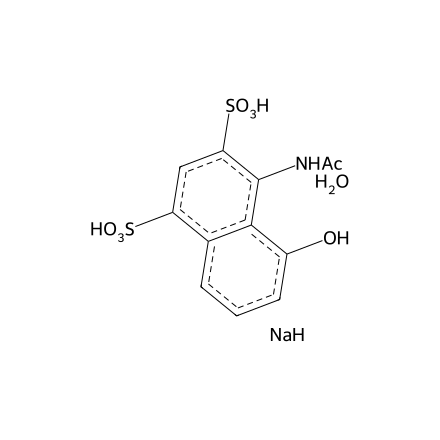 CC(=O)Nc1c(S(=O)(=O)O)cc(S(=O)(=O)O)c2cccc(O)c12.O.[NaH]